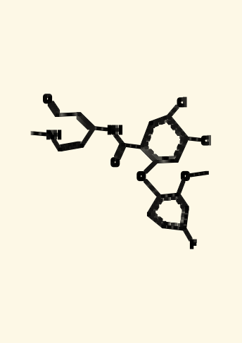 CN/C=C\C(=C/C=O)NC(=O)c1cc(Cl)c(Cl)cc1Oc1ccc(F)cc1OC